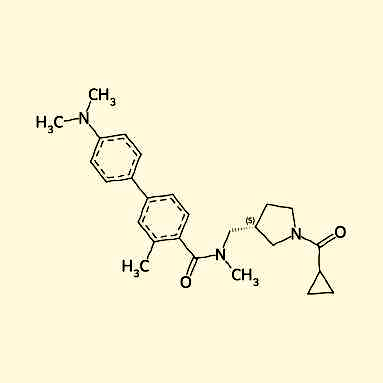 Cc1cc(-c2ccc(N(C)C)cc2)ccc1C(=O)N(C)C[C@@H]1CCN(C(=O)C2CC2)C1